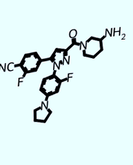 N#Cc1ccc(-c2cc(C(=O)N3CCCC(N)C3)nn2-c2ccc(N3CCCC3)cc2F)cc1F